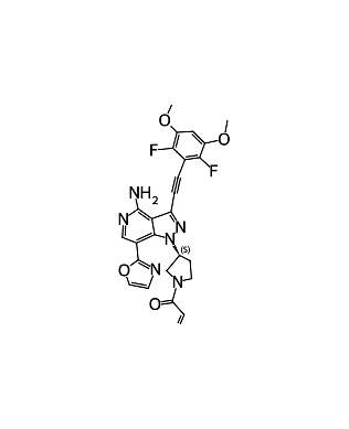 C=CC(=O)N1CC[C@H](n2nc(C#Cc3c(F)c(OC)cc(OC)c3F)c3c(N)ncc(-c4ncco4)c32)C1